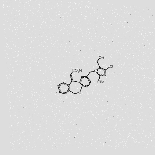 CCCCc1nc(Cl)c(CO)n1Cc1ccc2c(c1)C(=CC(=O)O)c1ccccc1CO2